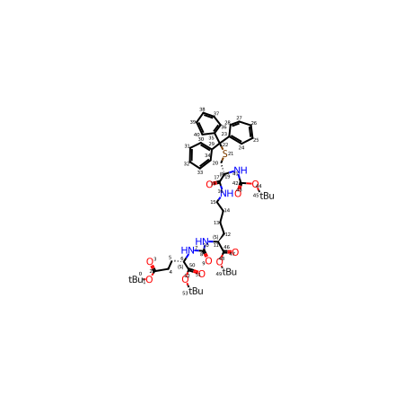 CC(C)(C)OC(=O)CC[C@H](NC(=O)N[C@@H](CCCCNC(=O)[C@H](CSC(c1ccccc1)(c1ccccc1)c1ccccc1)NC(=O)OC(C)(C)C)C(=O)OC(C)(C)C)C(=O)OC(C)(C)C